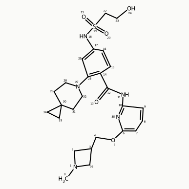 CN1CC(COc2cccc(NC(=O)c3ccc(NS(=O)(=O)CCO)cc3N3CCC4(CC3)CC4)n2)C1